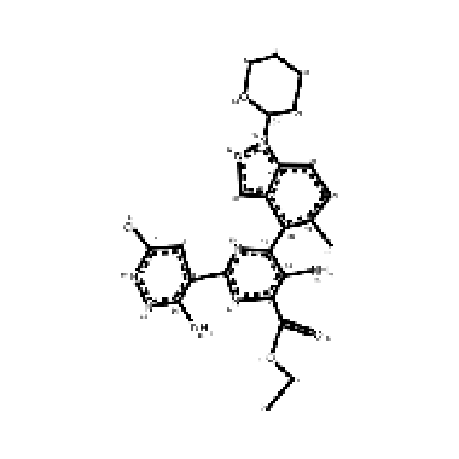 CCOC(=O)c1nc(-c2cc(Cl)nnc2N)nc(-c2c(C)ccc3c2cnn3C2CCCCO2)c1N